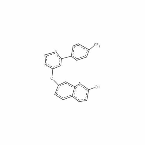 Oc1ccc2ccc(Oc3cc(-c4ccc(C(F)(F)F)cc4)ncn3)cc2n1